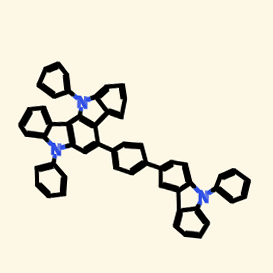 c1ccc(-n2c3ccccc3c3cc(-c4ccc(-c5cc6c(c7ccccc7n6-c6ccccc6)c6c5c5ccccc5n6-c5ccccc5)cc4)ccc32)cc1